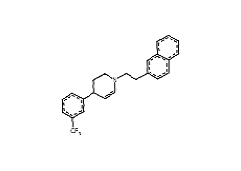 FC(F)(F)c1cccc(C2C=CN(CCc3ccc4ccccc4c3)CC2)c1